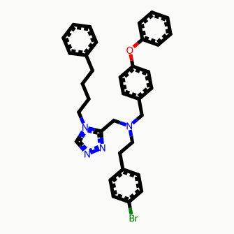 Brc1ccc(CCN(Cc2ccc(Oc3ccccc3)cc2)Cc2nncn2CCCCc2ccccc2)cc1